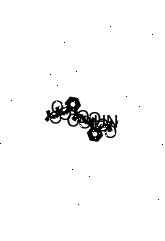 CNC(=O)Oc1ccccc1C(=O)OOC(=O)c1ccccc1OC(=O)OC(C)C